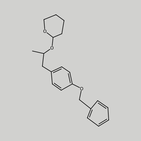 CC(Cc1ccc(OCc2ccccc2)cc1)OC1CCCCO1